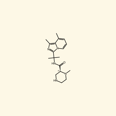 Cc1cccn2c(C(C)(C)NC(=O)[C@@H]3CNCCN3C)nc(C)c12